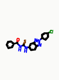 O=C(NC(=S)Nc1ccc2nn(-c3ccc(Cl)cc3)nc2c1)c1ccccc1